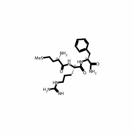 CSCC[C@H](N)C(=O)N[C@@H](CCCNC(=N)N)C(=O)N[C@@H](Cc1ccccc1)C(N)=O